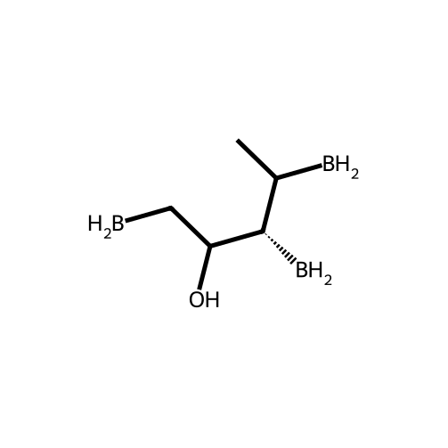 BCC(O)[C@@H](B)C(B)C